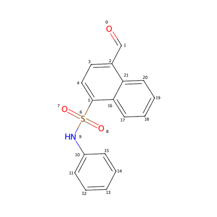 O=Cc1ccc(S(=O)(=O)Nc2ccccc2)c2ccccc12